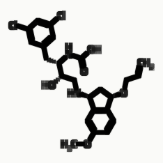 C=CCO[C@@H]1C[C@H](NC[C@H](O)[C@H](Cc2cc(Cl)cc(Cl)c2)NC(=O)O)c2cc(OC)ccc21